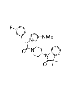 CNc1ccn([C@@H](Cc2cccc(F)c2)C(=O)N2CCC(N3C(=O)C(C)(C)c4ccccc43)CC2)c1